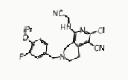 CC(C)Oc1ccc(CN2CCc3c(C#N)c(Cl)nc(NCC#N)c3C2)cc1F